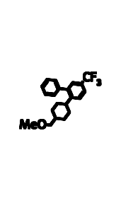 COCC1CCC(c2ccc(C(F)(F)F)cc2-c2ccccc2)CC1